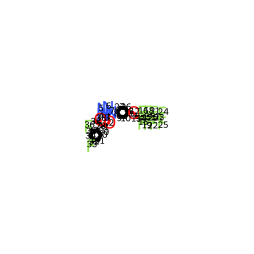 C[C@@H](Oc1nnnn1-c1ccc(OCC(F)(F)C(F)(F)C(F)(F)C(F)F)cc1)[C@@]1(c2ccc(F)cc2F)CO1